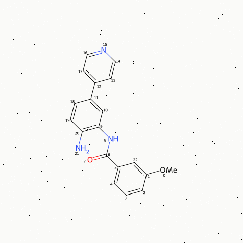 COc1cccc(C(=O)Nc2cc(-c3ccncc3)ccc2N)c1